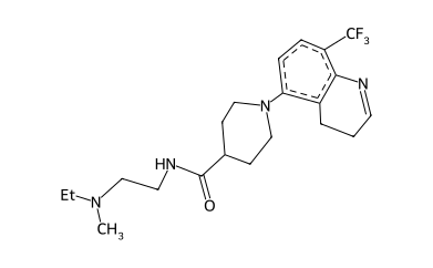 CCN(C)CCNC(=O)C1CCN(c2ccc(C(F)(F)F)c3c2CCC=N3)CC1